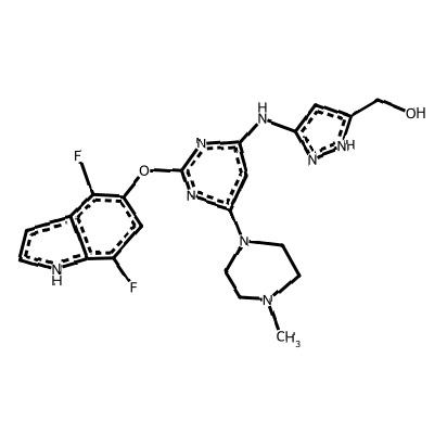 CN1CCN(c2cc(Nc3cc(CO)[nH]n3)nc(Oc3cc(F)c4[nH]ccc4c3F)n2)CC1